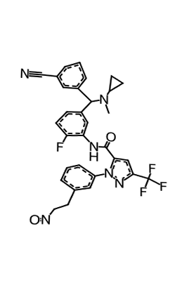 CN(C1CC1)C(c1cccc(C#N)c1)c1ccc(F)c(NC(=O)c2cc(C(F)(F)F)nn2-c2cccc(CCN=O)c2)c1